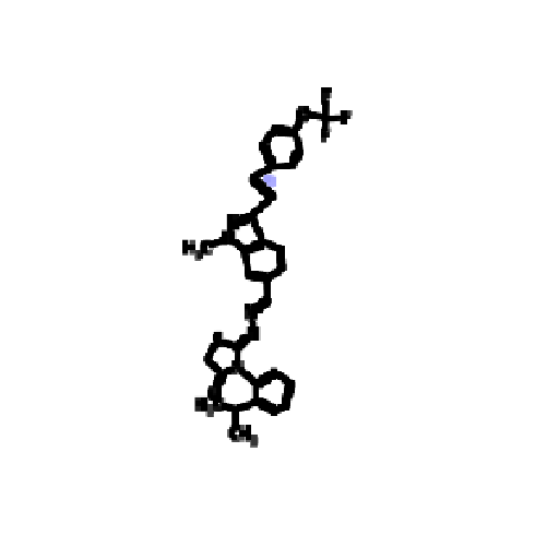 CC(C)c1ccccc1N1C(=O)CSC1=NN=Cc1ccc2c(/C=C/c3ccc(OC(F)(F)F)cc3)nn(C)c2c1